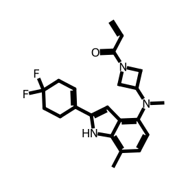 C=CC(=O)N1CC(N(C)c2ccc(C)c3[nH]c(C4=CCC(F)(F)CC4)cc23)C1